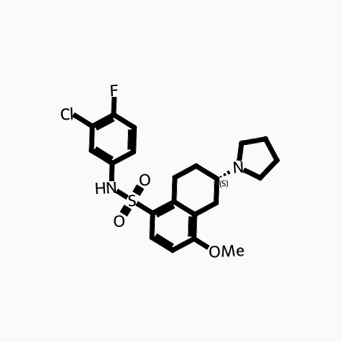 COc1ccc(S(=O)(=O)Nc2ccc(F)c(Cl)c2)c2c1C[C@@H](N1CCCC1)CC2